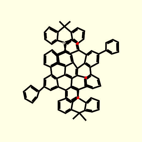 CC1(C)c2ccccc2N(c2ccc3c(-c4c(-c5ccccc5)cc(-c5ccccc5)cc4-c4ccccc4)c4cc(N5c6ccccc6C(C)(C)c6ccccc65)ccc4c(-c4c(-c5ccccc5)cc(-c5ccccc5)cc4-c4ccccc4)c3c2)c2ccccc21